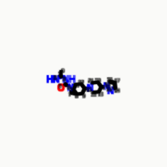 CC(=N)NC(=O)N1CC2CC(N3CCC(n4cccn4)CC3)CC1C2